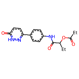 CCC(=O)OC(CC)C(=O)Nc1ccc(-c2ccc(=O)[nH]n2)cc1